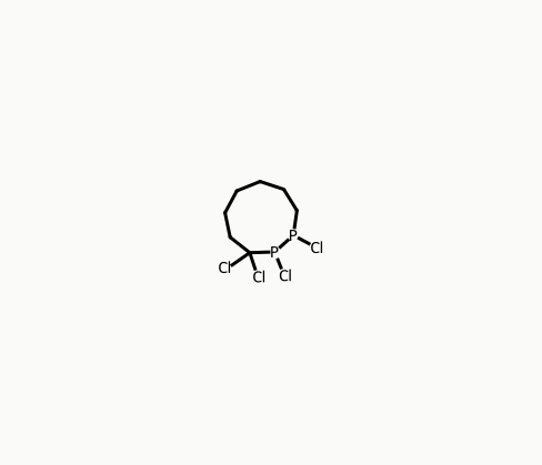 ClP1CCCCCCC(Cl)(Cl)P1Cl